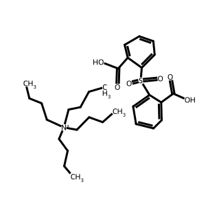 CCCC[N+](CCCC)(CCCC)CCCC.O=C(O)c1ccccc1S(=O)(=O)c1ccccc1C(=O)O